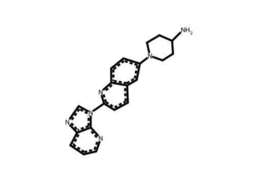 NC1CCN(c2ccc3nc(-n4cnc5cccnc54)ccc3c2)CC1